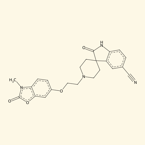 Cn1c(=O)oc2cc(OCCN3CCC4(CC3)C(=O)Nc3ccc(C#N)cc34)ccc21